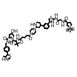 CC1NCSC1c1ccc(CNC(=O)[C@@H]2C[C@@H](O)CN2C(=O)[C@@H](NC(=O)CCCC(=O)N2CCN(C3CC(c4cccc(C5CSC(NC(=O)CNC(=O)C6CCN(S(C)(=O)=O)C6)N5)c4)CCN3)CC2)C(C)(C)C)cc1